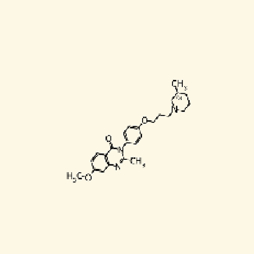 COc1ccc2c(=O)n(-c3ccc(OCCCN4CCC[C@H](C)C4)cc3)c(C)nc2c1